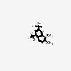 Cc1ccc2c(C(F)(F)F)cc(C(F)(F)F)cc2[n+]1C